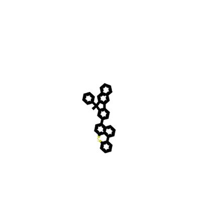 CC1(c2ccccc2)c2cc(-c3ccc4c5c(cccc35)-c3ccccc3S4)ccc2-c2cc3ccccc3cc21